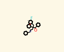 O=C(c1ccccc1)C(C/C=C/c1ccccc1)(Cc1cc[c]c(F)c1)c1ccccc1